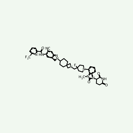 Cn1c(=O)n(C2CCC(=O)NC2=O)c2cccc(N3CCC(F)(CN4CC5(CCC(n6cc7cc(NC(=O)c8cccc(C(F)(F)F)n8)c(C#N)cc7n6)CC5)C4)CC3)c21